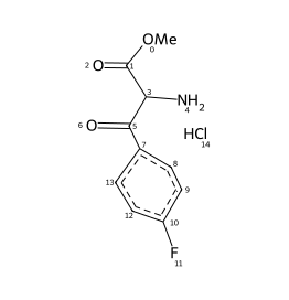 COC(=O)C(N)C(=O)c1ccc(F)cc1.Cl